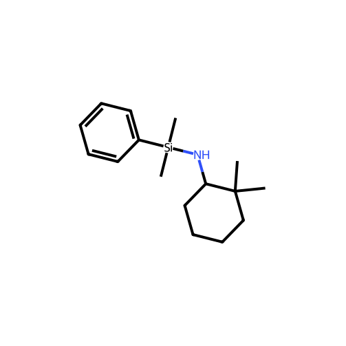 CC1(C)CCCCC1N[Si](C)(C)c1ccccc1